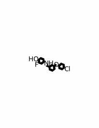 Oc1ccc(NCc2cccc(Oc3ccc(Cl)cc3)c2)cc1F